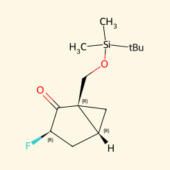 CC(C)(C)[Si](C)(C)OC[C@@]12C[C@@H]1C[C@@H](F)C2=O